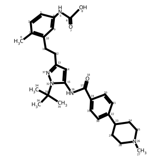 Cc1ccc(NC(=O)O)cc1CCc1cc(NC(=O)c2ccc(C3CCN(C)CC3)cc2)n(C(C)(C)C)n1